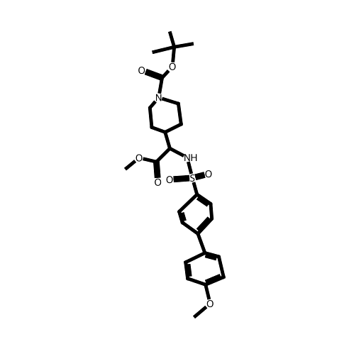 COC(=O)C(NS(=O)(=O)c1ccc(-c2ccc(OC)cc2)cc1)C1CCN(C(=O)OC(C)(C)C)CC1